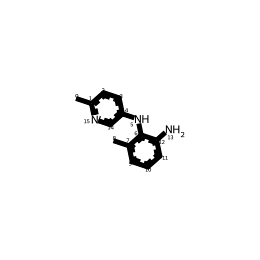 Cc1ccc(Nc2c(C)cccc2N)cn1